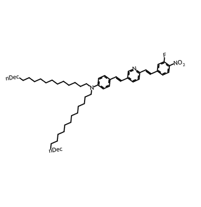 CCCCCCCCCCCCCCCCCCCCCCN(CCCCCCCCCCCCCCCCCCCCCC)c1ccc(C=Cc2ccc(C=Cc3ccc([N+](=O)[O-])c(F)c3)nc2)cc1